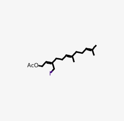 CC(=O)OCC=C(CI)CC/C=C(\C)CCC=C(C)C